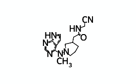 CN(c1ncnc2[nH]ccc12)N1CCCC(CC(=O)NCC#N)C1